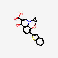 COc1c(-c2cc3c(s2)CCC=C3)ccc2c(=O)c(C(=O)O)cn(C3CC3)c12